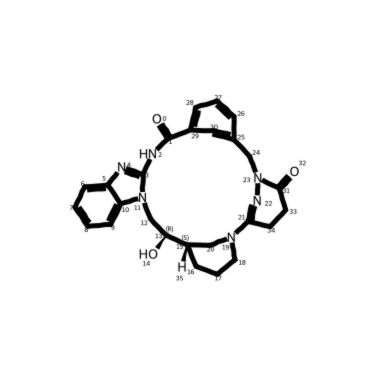 O=C1Nc2nc3ccccc3n2C[C@H](O)[C@H]2CCCN(C2)C2=NN(Cc3cccc1c3)C(=O)CC2